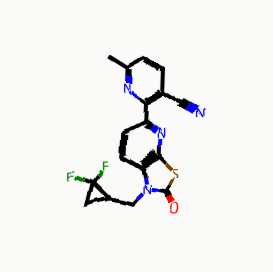 Cc1ccc(C#N)c(-c2ccc3c(n2)sc(=O)n3CC2CC2(F)F)n1